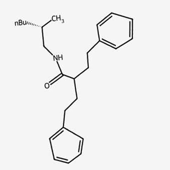 CCCC[C@H](C)CNC(=O)C(CCc1ccccc1)CCc1ccccc1